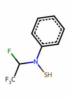 FC(N(S)c1ccccc1)C(F)(F)F